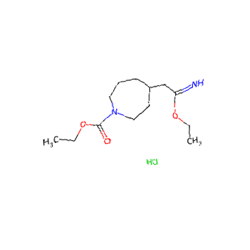 CCOC(=N)CC1CCCN(C(=O)OCC)CC1.Cl